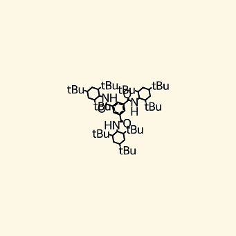 CC(C)(C)C1CC(C(C)(C)C)C(NC(=O)c2cc(C(=O)NC3C(C(C)(C)C)CC(C(C)(C)C)CC3C(C)(C)C)cc(C(=O)NC3C(C(C)(C)C)CC(C(C)(C)C)CC3C(C)(C)C)c2)C(C(C)(C)C)C1